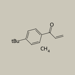 C.C=CC(=O)c1ccc(C(C)(C)C)cc1